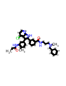 C=CC(=O)Nc1cc(-c2c(-c3cccc(C(=O)NCCCN(C)CC4C=CC=CC4)c3)[nH]c3nccc(Cl)c23)ccc1C